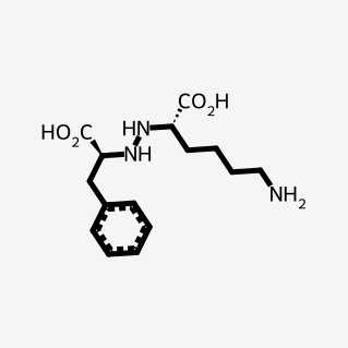 NCCCC[C@H](NN[C@@H](Cc1ccccc1)C(=O)O)C(=O)O